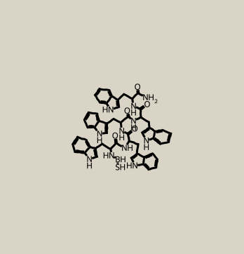 NC(=O)C(Cc1c[nH]c2ccccc12)NC(=O)C(Cc1c[nH]c2ccccc12)NC(=O)C(Cc1c[nH]c2ccccc12)NC(=O)C(Cc1c[nH]c2ccccc12)NC(=O)C(Cc1c[nH]c2ccccc12)NBS